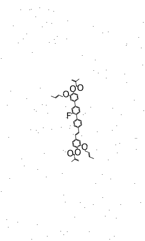 C=C(C)C(=O)Oc1ccc(/C=C/c2ccc(-c3ccc(-c4ccc(OC(=O)C(=C)C)c(OC/C=C/C)c4)cc3F)cc2)cc1OC/C=C/C